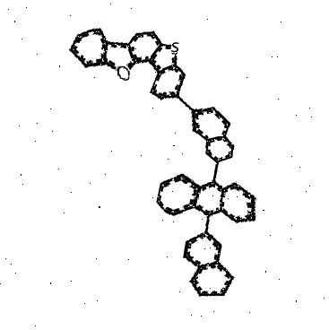 c1ccc2cc(-c3c4ccccc4c(-c4ccc5ccc(-c6ccc7c(c6)sc6ccc8c9ccccc9oc8c67)cc5c4)c4ccccc34)ccc2c1